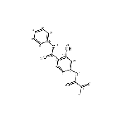 C=C(C)C(=O)Oc1ccc(C(=O)Oc2ccccc2)c(O)c1